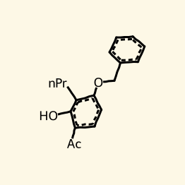 CCCc1c(OCc2ccccc2)ccc(C(C)=O)c1O